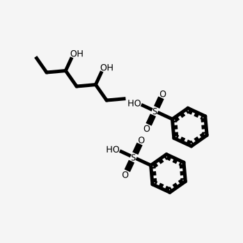 CCC(O)CC(O)CC.O=S(=O)(O)c1ccccc1.O=S(=O)(O)c1ccccc1